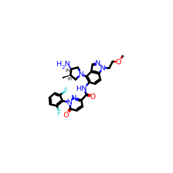 COCCn1ncc2c(N3C[C@@H](C)[C@@H](N)C3)c(NC(=O)c3ccc(=O)n(-c4c(F)cccc4F)n3)ccc21